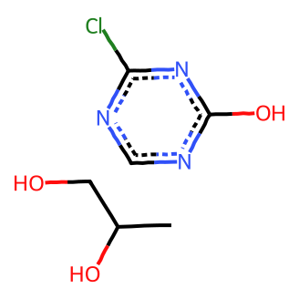 CC(O)CO.Oc1ncnc(Cl)n1